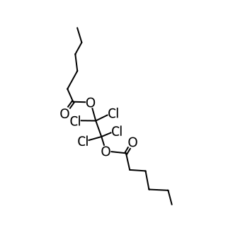 CCCCCC(=O)OC(Cl)(Cl)C(Cl)(Cl)OC(=O)CCCCC